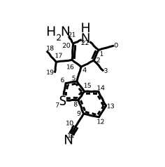 CC1=C(C)C(c2csc3c(C#N)cccc23)C(C(C)C)=C(N)N1